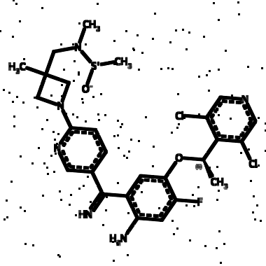 C[C@@H](Oc1cc(C(=N)c2ccc(N3CC(C)(CN(C)[S+](C)[O-])C3)nc2)c(N)cc1F)c1c(Cl)cncc1Cl